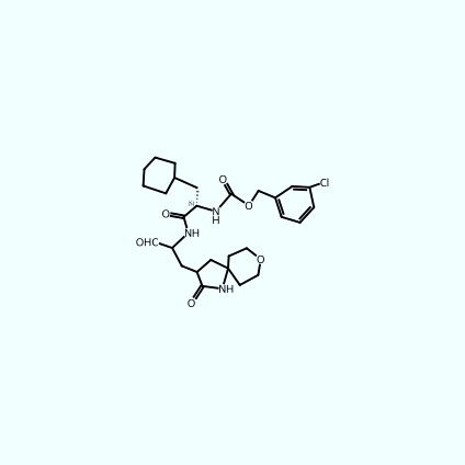 O=CC(CC1CC2(CCOCC2)NC1=O)NC(=O)[C@H](CC1CCCCC1)NC(=O)OCc1cccc(Cl)c1